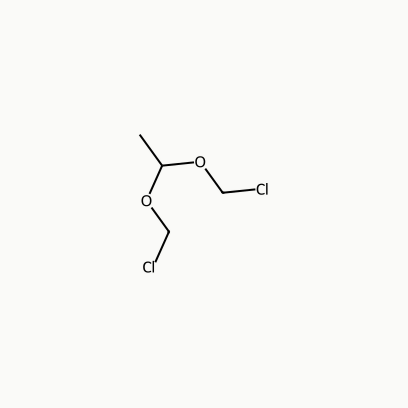 CC(OCCl)OCCl